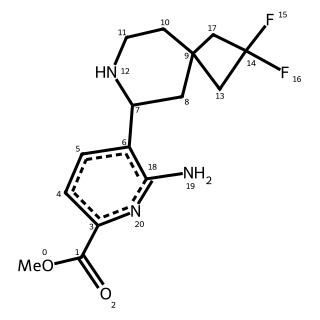 COC(=O)c1ccc(C2CC3(CCN2)CC(F)(F)C3)c(N)n1